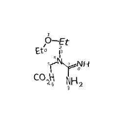 CCOCC.CN(CC(=O)O)C(=N)N